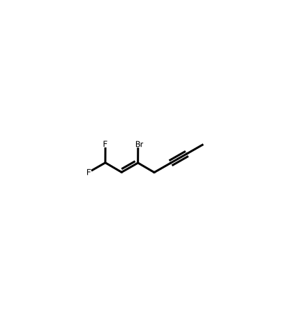 CC#CCC(Br)=CC(F)F